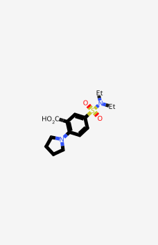 CCN(CC)S(=O)(=O)c1ccc(N2CCCC2)c(C(=O)O)c1